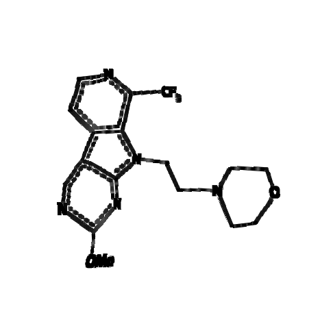 COc1ncc2c3ccnc(C(F)(F)F)c3n(CCN3CCOCC3)c2n1